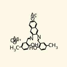 CC(=O)[O-].CC(=O)[O-].Cc1ccc(O)c(C=Nc2cc3ccccc3cc2N=Cc2cc(C)ccc2O)c1.[Co+2]